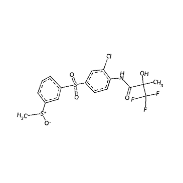 C[S+]([O-])c1cccc(S(=O)(=O)c2ccc(NC(=O)C(C)(O)C(F)(F)F)c(Cl)c2)c1